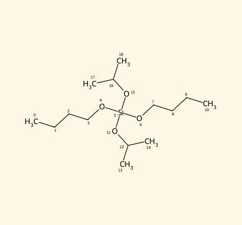 CCCCO[Si](OCCCC)(OC(C)C)OC(C)C